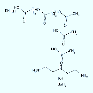 CC(=O)O.CC(=O)O.CC(=O)O.CC(=O)O.CC(=O)O.NCCNCCN.[BaH2].[KH].[KH].[KH]